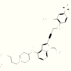 COc1cc(S(C)(=O)=O)ccc1NCC#Cc1cc2c(NC3CCN(C[C@@H](CO)OC)CC3)cccc2n1CC(F)(F)F